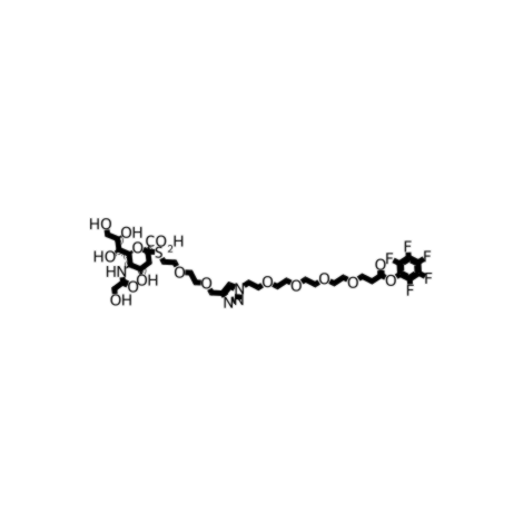 O=C(CO)N[C@@H]1[C@@H]([C@@H](O)[C@@H](O)CO)O[C@](SCCOCCOCc2cn(CCOCCOCCOCCOCCC(=O)Oc3c(F)c(F)c(F)c(F)c3F)nn2)(C(=O)O)C[C@H]1O